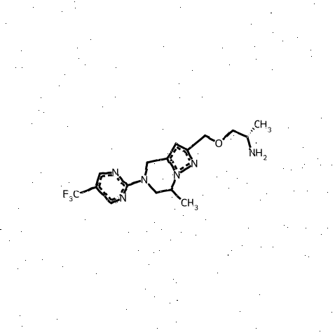 CC1CN(c2ncc(C(F)(F)F)cn2)Cc2cc(COC[C@H](C)N)nn21